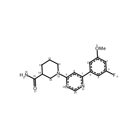 COc1cc(F)cc(-c2cc(N3CCCC(C(N)=O)C3)ncn2)c1